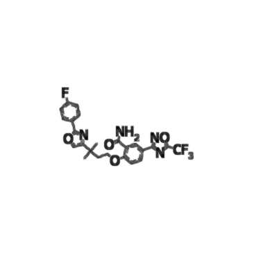 CC(C)(CCOc1ccc(-c2noc(C(F)(F)F)n2)cc1C(N)=O)c1coc(-c2ccc(F)cc2)n1